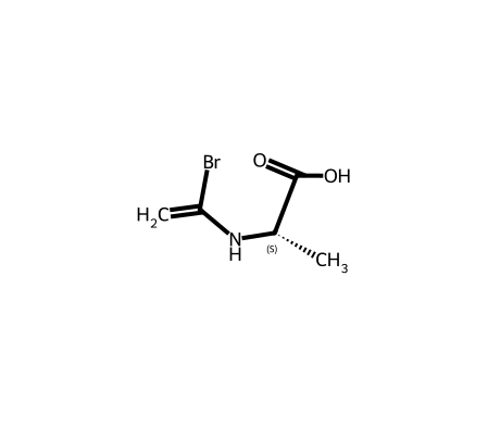 C=C(Br)N[C@@H](C)C(=O)O